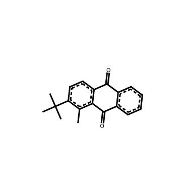 Cc1c(C(C)(C)C)ccc2c1C(=O)c1ccccc1C2=O